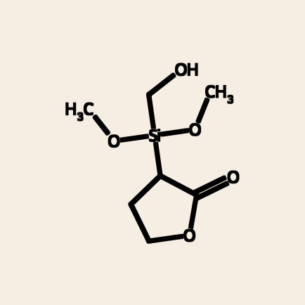 CO[Si](CO)(OC)C1CCOC1=O